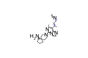 C=C/N=C\C=C(/C)c1c(C)nc(N2CCC3(CCC[C@H]3N)CC2)n2ccnc12